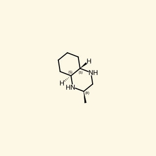 C[C@@H]1CN[C@H]2CCCC[C@@H]2N1